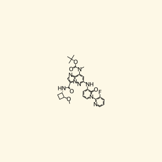 CO[C@H]1CC[C@@H]1NC(=O)c1cnc2c(N(C)C(=O)OC(C)(C)C)cc(Nc3cccn(-c4ncccc4F)c3=O)nn12